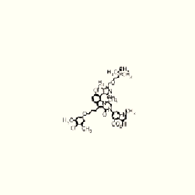 Cc1cc(OCCCc2c3n(c4c(-c5c(C)nn(COCC[Si](C)(C)C)c5C)c(Cl)ccc24)[C@H](C)CN(c2cc(C(=O)O)c4ccn(C)c4c2)C3=O)cc(C)c1Cl